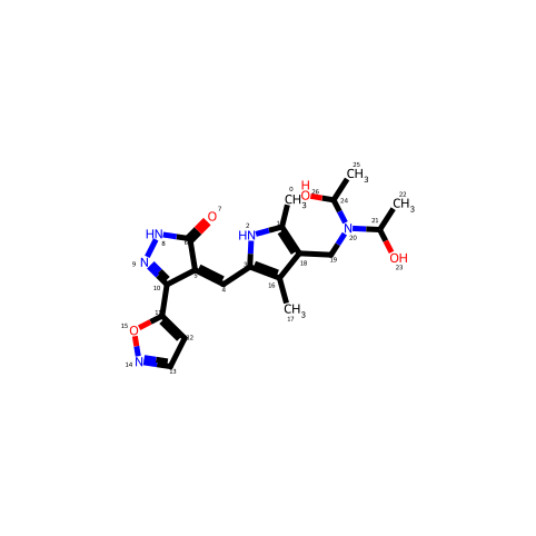 Cc1[nH]c(C=C2C(=O)NN=C2c2ccno2)c(C)c1CN(C(C)O)C(C)O